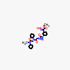 COC(=O)C(=NO)c1cccc(NC(=O)NCC(=O)N(CC(=O)N(C)c2ccccc2)c2ccccc2)c1